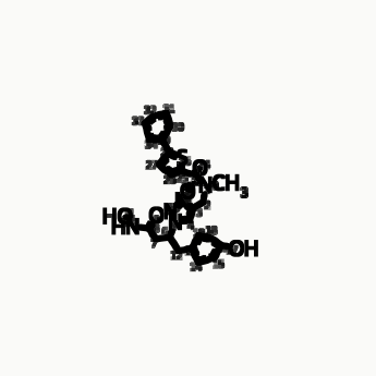 CN(Cc1cn(C(CC(=O)NO)Cc2ccc(O)cc2)nn1)S(=O)(=O)c1ccc(-c2ccccc2)s1